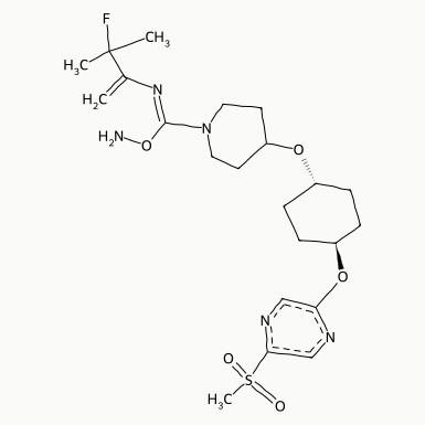 C=C(/N=C(\ON)N1CCC(O[C@H]2CC[C@H](Oc3cnc(S(C)(=O)=O)cn3)CC2)CC1)C(C)(C)F